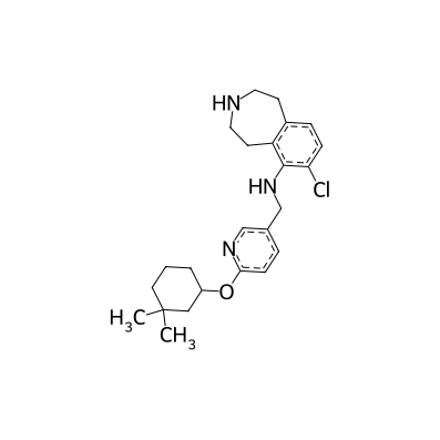 CC1(C)CCCC(Oc2ccc(CNc3c(Cl)ccc4c3CCNCC4)cn2)C1